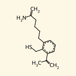 C=C(N)CCCCc1cccc(C(=C)C)c1CS